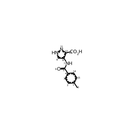 Cc1ccc(C(=O)Nc2c[nH]nc2C(=O)O)cc1